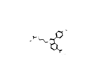 COC(=O)c1ccc2c(c1)c(-c1ccc(OC(F)(F)F)cc1)cn2CCCNC(=O)OC(C)(C)C